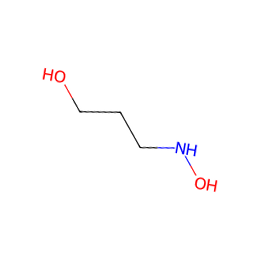 OCCCNO